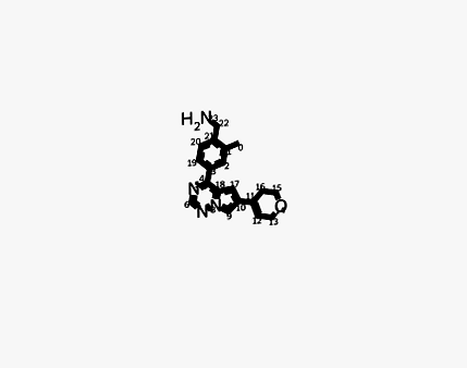 Cc1cc(-c2ncnn3cc(C4=CCOCC4)cc23)ccc1CN